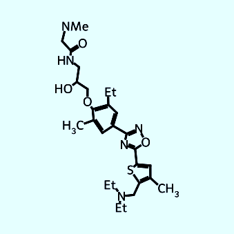 CCc1cc(-c2noc(-c3cc(C)c(CN(CC)CC)s3)n2)cc(C)c1OCC(O)CNC(=O)CNC